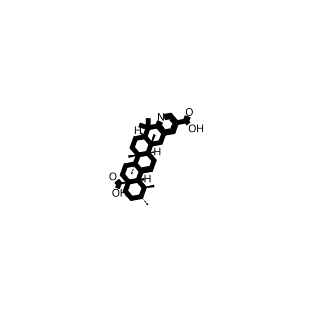 C[C@H]1[C@H](C)CC[C@]2(C(=O)O)CC[C@]3(C)C(=CC[C@@H]4[C@@]5(C)Cc6cc(C(=O)O)cnc6C(C)(C)[C@@H]5CC[C@]43C)[C@H]12